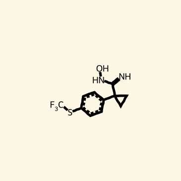 N=C(NO)C1(c2ccc(SC(F)(F)F)cc2)CC1